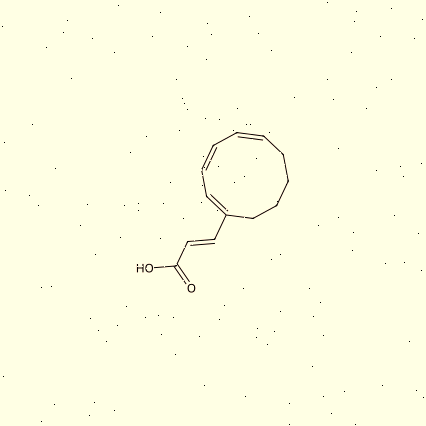 O=C(O)C=CC1=CC=CC=CCCCC1